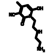 Cc1cc(O)n(CCNCCN)c(=O)c1C#N